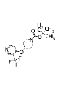 CC(C)(C)OC(=O)N1CCC(Oc2ccncc2C(F)(F)F)CC1